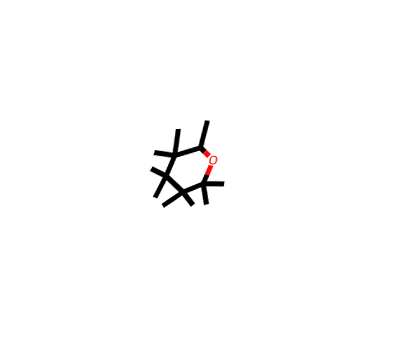 CC1OC(C)(C)C(C)(C)C(C)(C)C1(C)C